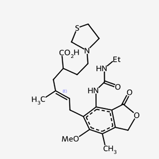 CCNC(=O)Nc1c(C/C=C(\C)CC(CCN2CCSC2)C(=O)O)c(OC)c(C)c2c1C(=O)OC2